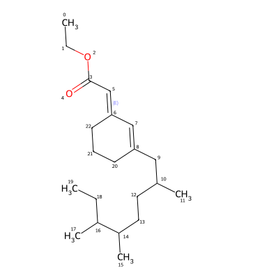 CCOC(=O)/C=C1/C=C(CC(C)CCC(C)C(C)CC)CCC1